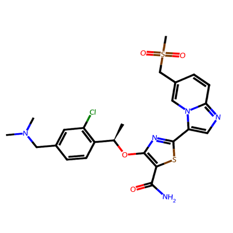 C[C@@H](Oc1nc(-c2cnc3ccc(CS(C)(=O)=O)cn23)sc1C(N)=O)c1ccc(CN(C)C)cc1Cl